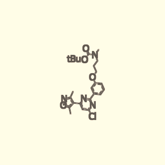 Cc1noc(C)c1-c1cc(Cl)nc(-c2cccc(OCCCN(C)C(=O)OC(C)(C)C)c2)n1